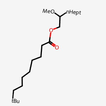 CCCCCCCC(COC(=O)CCCCCCCC(C)(C)C)OC